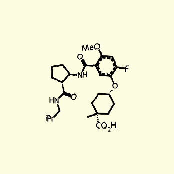 COc1cc(F)c(O[C@H]2CC[C@@](C)(C(=O)O)CC2)cc1C(=O)N[C@@H]1CCC[C@@H]1C(=O)NCC(C)C